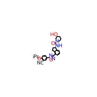 CC(C)Oc1ccc(-c2nc(-c3cccc4c3CCC4NC(=O)N3CCCC(O)C3)no2)cc1C#N